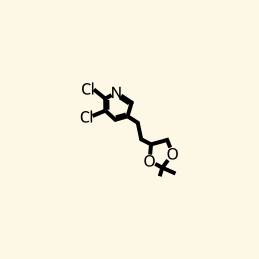 CC1(C)OCC(CCc2cnc(Cl)c(Cl)c2)O1